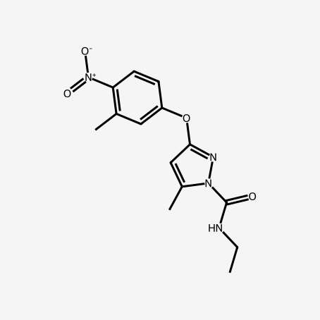 CCNC(=O)n1nc(Oc2ccc([N+](=O)[O-])c(C)c2)cc1C